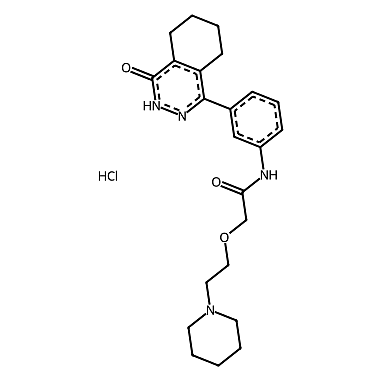 Cl.O=C(COCCN1CCCCC1)Nc1cccc(-c2n[nH]c(=O)c3c2CCCC3)c1